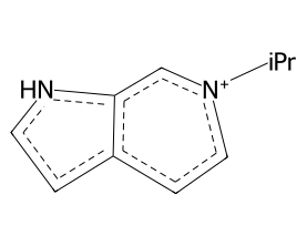 CC(C)[n+]1ccc2cc[nH]c2c1